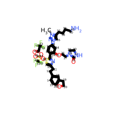 C[n+]1nn(-c2ccc(-c3nc(CCc4ccc5c(c4)CCO5)cs3)c(OCCN3CCNC3=O)c2)cc1CCCCN.O=C(OS(=O)(=O)C(F)(F)F)C(F)(F)F